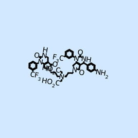 Nc1ccc(C2NC(=O)N(c3cccc(C(F)(F)F)c3)C3=C2C(=O)N(CCC[N+](CCCN2CC4=C(CNC(=O)N4c4cccc(C(F)(F)F)c4)C2=O)(CC(=O)O)CC(=O)O)C3)cc1